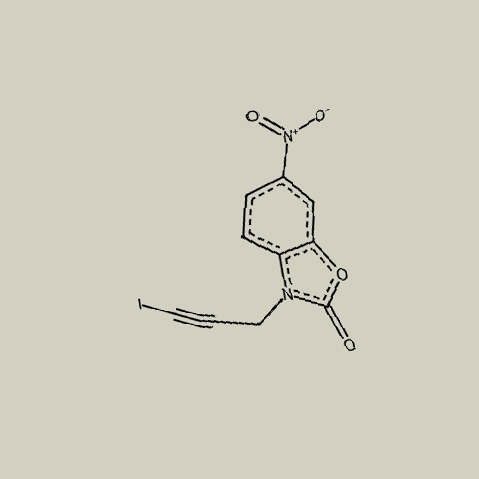 O=c1oc2cc([N+](=O)[O-])ccc2n1CC#CI